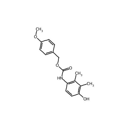 COc1ccc(COC(=O)Nc2ccc(O)c(C)c2C)cc1